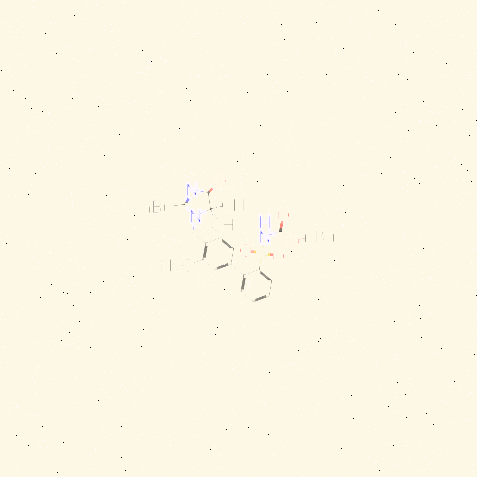 CCCCOC(=O)NS(=O)(=O)c1ccccc1-c1ccc(CN2C(CCCC)=NC(=O)C2(C)C)c(C)c1